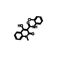 Cn1c(=O)c(C(=O)Nc2ccccc2Cl)c(O)c2ccccc21